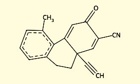 C#CC12C=C(C#N)C(=O)C=C1c1c(C)cccc1CC2